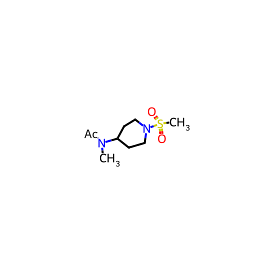 CC(=O)N(C)C1CCN(S(C)(=O)=O)CC1